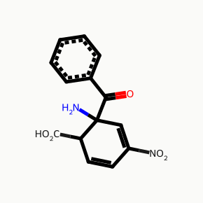 NC1(C(=O)c2ccccc2)C=C([N+](=O)[O-])C=CC1C(=O)O